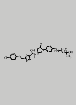 CC(C)(O)CCNCc1ccc(N2C[C@H](NC(O)c3nnc(CCc4ccc(Cl)cc4)s3)CC2=O)cc1